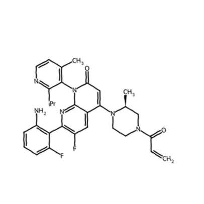 C=CC(=O)N1CCN(c2cc(=O)n(-c3c(C)ccnc3C(C)C)c3nc(-c4c(N)cccc4F)c(F)cc23)[C@@H](C)C1